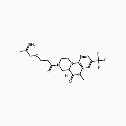 CC(=[SiH2])COCCC(=O)N1CCN2c3ncc(C(F)(F)F)cc3N(C)C(=O)[C@H]2C1